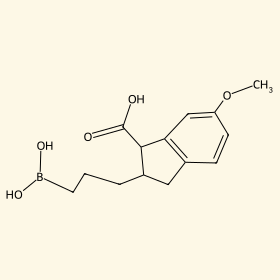 COc1ccc2c(c1)C(C(=O)O)C(CCCB(O)O)C2